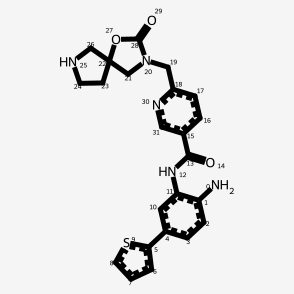 Nc1ccc(-c2cccs2)cc1NC(=O)c1ccc(CN2CC3(CCNC3)OC2=O)nc1